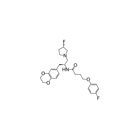 O=C(CCCOc1ccc(F)cc1)N[C@@H](Cc1ccc2c(c1)OCCO2)CN1CC[C@@H](F)C1